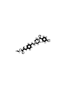 CCOC(=O)/C(C)=C/c1ccc(CCN2CCN(C(=O)c3ccc(Cl)cc3)CC2)cc1